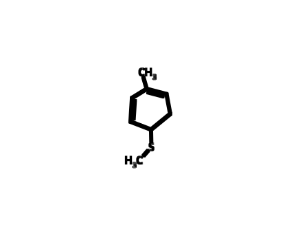 CSC1C=CC(C)=CC1